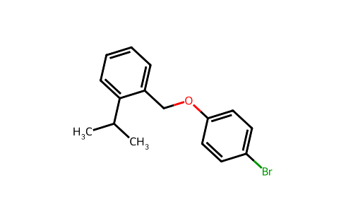 CC(C)c1ccccc1COc1ccc(Br)cc1